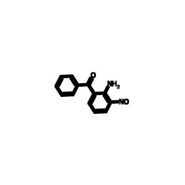 Nc1c(N=O)cccc1C(=O)c1ccccc1